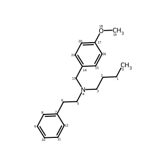 CCCCN(CCc1ccccc1)Cc1ccc(OC)cc1